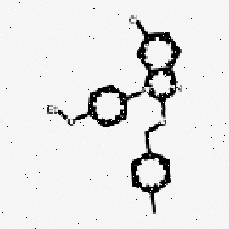 CCOc1ccc(-n2c(SCc3ccc(C)cc3)nc3ccc(Cl)cc32)cc1